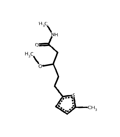 CNC(=O)CC(CCc1ccc(C)s1)OC